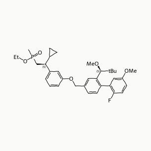 CCOP(C)(=O)C[C@H](c1cccc(OCc2ccc(-c3cc(OC)ccc3F)c([C@@H](OC)C(C)(C)C)c2)c1)C1CC1